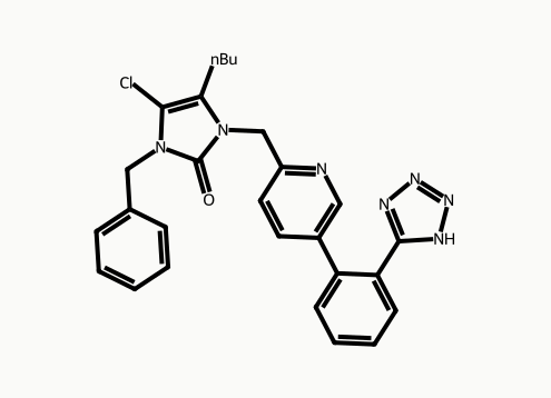 CCCCc1c(Cl)n(Cc2ccccc2)c(=O)n1Cc1ccc(-c2ccccc2-c2nnn[nH]2)cn1